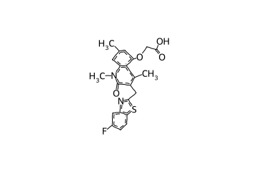 Cc1cc(OCC(=O)O)c2c(C)c(Cc3nc4cc(F)ccc4s3)c(=O)n(C)c2c1